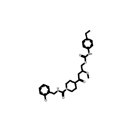 CCc1ccc(NC(=O)OCC(CC(=O)C2CCN(C(=O)NCc3ccccc3Cl)CC2)OC)cc1